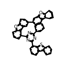 C1=C=Cc2c(oc3cc(-c4ccc5oc6cccc(-c7nc(-c8ccccc8)nc(-c8cccc9c8sc8ccccc89)n7)c6c5c4)ccc23)C=1